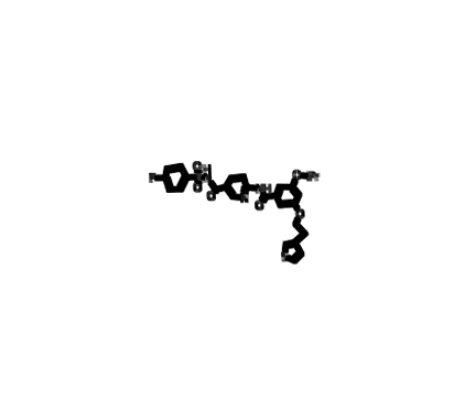 CC(C)Oc1cc(OCCc2ccsc2)cc(C(=O)Nc2ccc(C(=O)NS(=O)(=O)c3ccc(F)cc3)cn2)c1